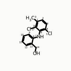 Cc1ccc(Cl)c(Nc2ccccc2CO)c1Cl